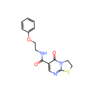 O=C(NCCOc1ccccc1)c1cnc2n(c1=O)CCS2